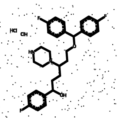 Cl.Cl.OC(CCC(CCOC(c1ccc(F)cc1)c1ccc(F)cc1)N1CCNCC1)c1ccc(F)cc1